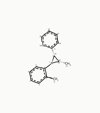 Cc1ccccc1N1[C@H](c2ccccn2)[C@@H]1C